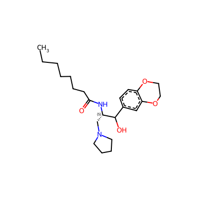 CCCCCCCC(=O)N[C@@H](CN1CCCC1)C(O)c1ccc2c(c1)OCCO2